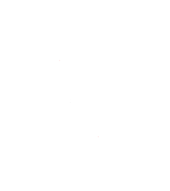 OCCCc1coc2c(O)cccc12